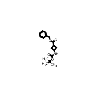 CC(C)(C)OC(=O)NC1CC(C(=O)OCc2ccccc2)C1